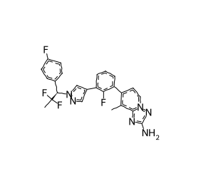 Cc1c(-c2cccc(-c3cnn([C@H](c4ccc(F)cc4)C(C)(F)F)c3)c2F)ccn2nc(N)nc12